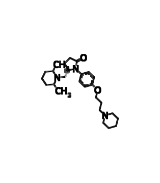 CC1CCCC(C)N1C[C@@H]1CCC(=O)N1c1ccc(OCCCN2CCCCC2)cc1